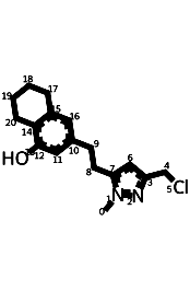 Cn1nc(CCl)cc1CCc1cc(O)c2c(c1)CCCC2